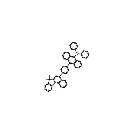 CC1(C)c2ccccc2-c2c1cc(-c1ccc(-c3c4ccccc4c(N(c4ccccc4)c4ccccc4)c4ccccc34)cc1)c1ccccc21